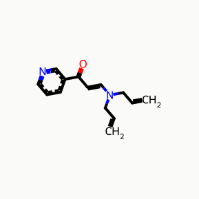 C=CCN(C=CC(=O)c1cccnc1)CC=C